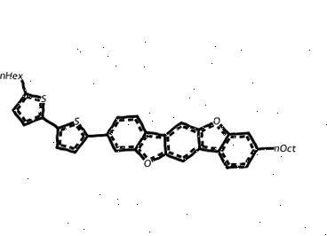 CCCCCCCCc1ccc2c(c1)oc1cc3c(cc12)oc1cc(-c2ccc(-c4ccc(CCCCCC)s4)s2)ccc13